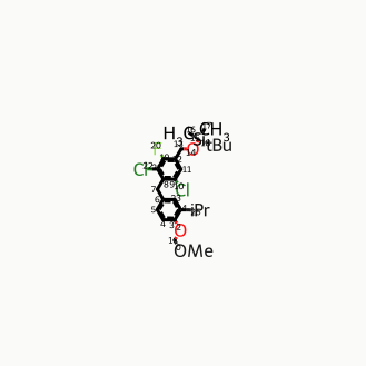 COCOc1ccc(Cc2c(Cl)cc(CO[Si](C)(C)C(C)(C)C)c(F)c2Cl)cc1C(C)C